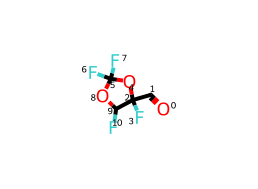 O=CC1(F)OC(F)(F)OC1F